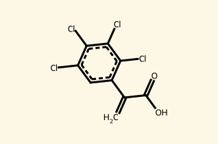 C=C(C(=O)O)c1cc(Cl)c(Cl)c(Cl)c1Cl